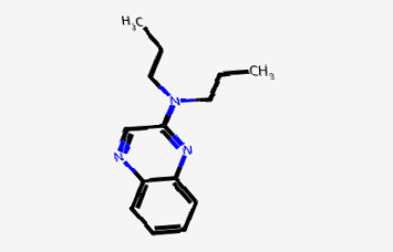 CCCN(CCC)c1cnc2ccccc2n1